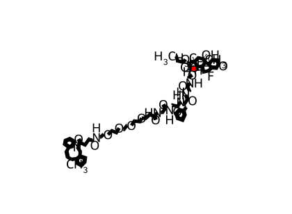 CCCC1O[C@@H]2C[C@H]3[C@@H]4C[C@H](F)C5=CC(=O)C=C[C@]5(C)[C@@]4(F)[C@@H](O)C[C@]3(C)[C@]2(C(=O)COCNC(=O)CNC(=O)[C@H](Cc2ccccc2)NC(=O)CNC(=O)CNC(=O)CCOCCOCCOCCOCCNC(=O)CCC(=O)N2Cc3ccccc3C(C)/C=C\c3ccccc32)O1